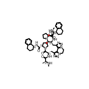 CNCC(=O)N[C@@H](Cc1nnn2c1-c1c(C[C@H](NC(=O)[C@H](C)NC)C(=O)N3CCC[C@H]3C(=O)N[C@@H]3CCCc4ccccc43)nnn1CC2)C(=O)N1CCCC1C(=O)N[C@@H]1CCCc2ccccc21